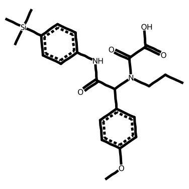 CCCN(C(=O)C(=O)O)C(C(=O)Nc1ccc([Si](C)(C)C)cc1)c1ccc(OC)cc1